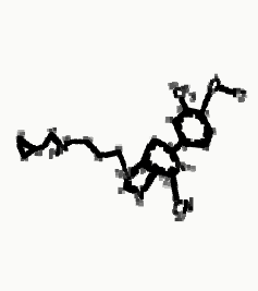 CCOc1ccc(-c2cc3c(ncn3CCCNCC3CC3)c(C#N)n2)cc1C(F)(F)F